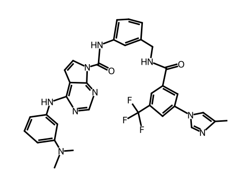 Cc1cn(-c2cc(C(=O)NCc3cccc(NC(=O)n4ccc5c(Nc6cccc(N(C)C)c6)ncnc54)c3)cc(C(F)(F)F)c2)cn1